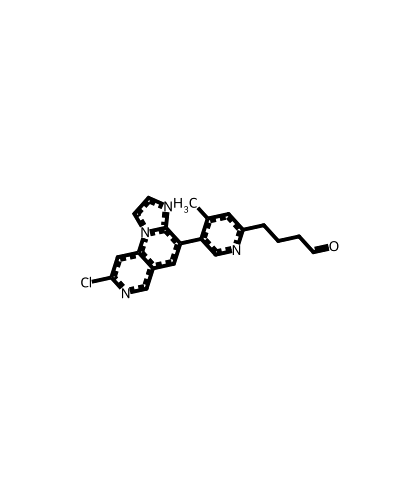 Cc1cc(CCCC=O)ncc1-c1cc2cnc(Cl)cc2n2ccnc12